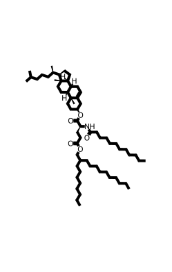 CCCCCCCCCCCC(=O)N[C@@H](CCC(=O)OCC(CCCCCCCC)CCCCCCCCCC)C(=O)O[C@H]1CC[C@@]2(C)C(=CC[C@H]3[C@@H]4CC[C@H]([C@H](C)CCCC(C)C)[C@@]4(C)CC[C@@H]32)C1